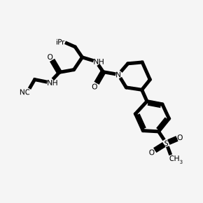 CC(C)CC(CC(=O)NCC#N)NC(=O)N1CCCC(c2ccc(S(C)(=O)=O)cc2)C1